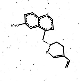 C=CC1=CN[C@H](Cc2ccnc3ccc(OC)cc23)CC1